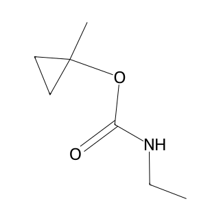 CCNC(=O)OC1(C)CC1